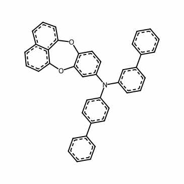 c1ccc(-c2ccc(N(c3cccc(-c4ccccc4)c3)c3ccc4c(c3)Oc3cccc5cccc(c35)O4)cc2)cc1